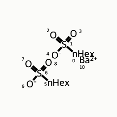 CCCCCCS(=O)(=O)[O-].CCCCCCS(=O)(=O)[O-].[Ba+2]